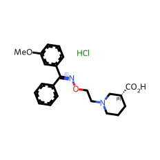 COc1cccc(/C(=N/OCCN2CCC[C@@H](C(=O)O)C2)c2ccccc2)c1.Cl